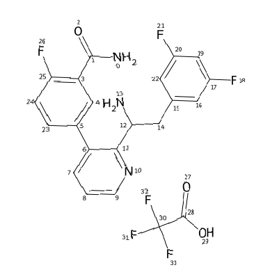 NC(=O)c1cc(-c2cccnc2C(N)Cc2cc(F)cc(F)c2)ccc1F.O=C(O)C(F)(F)F